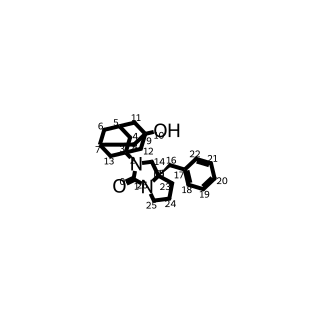 O=C1N(C23CC4CC(CC(O)(C4)C2)C3)C[C@]2(Cc3ccccc3)CCCN12